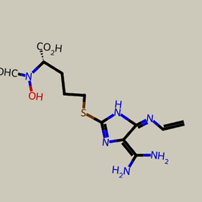 C=C/N=C1/NC(SCCC[C@@H](C(=O)O)N(O)C=O)=NC1=C(N)N